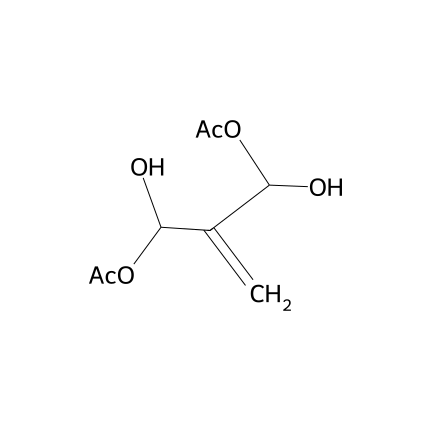 C=C(C(O)OC(C)=O)C(O)OC(C)=O